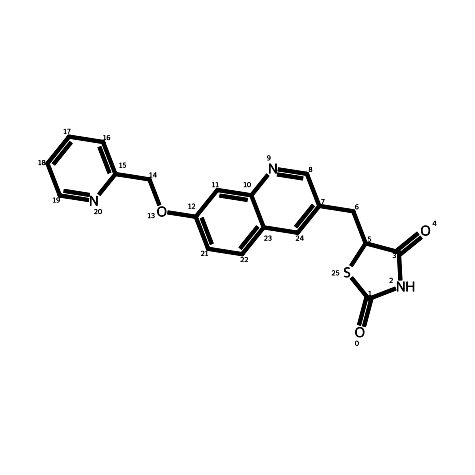 O=C1NC(=O)C(Cc2cnc3cc(OCc4ccccn4)ccc3c2)S1